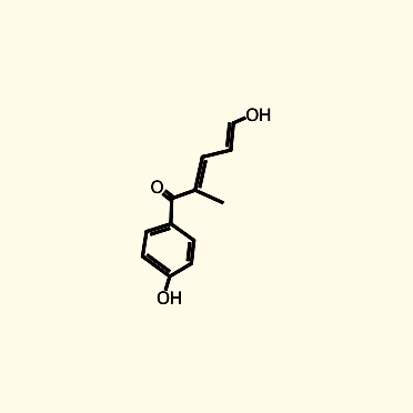 C/C(=C\C=C\O)C(=O)c1ccc(O)cc1